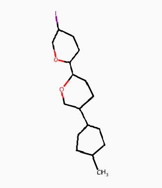 CC1CCC(C2CCC(C3CCC(I)CO3)OC2)CC1